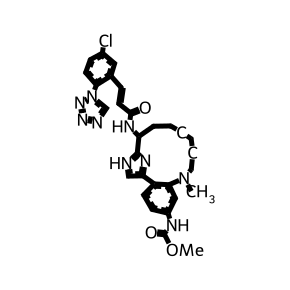 COC(=O)Nc1ccc2c(c1)N(C)CCCCCCC(NC(=O)/C=C/c1cc(Cl)ccc1-n1cnnn1)c1nc-2c[nH]1